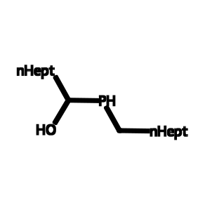 CCCCCCCCPC(O)CCCCCCC